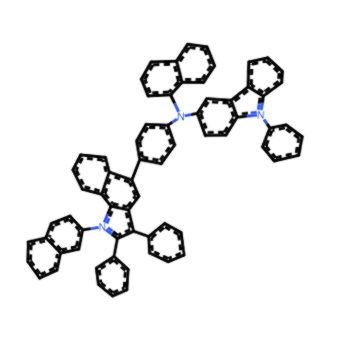 c1ccc(-c2c(-c3ccccc3)n(-c3ccc4ccccc4c3)c3c2cc(-c2ccc(N(c4ccc5c(c4)c4ccccc4n5-c4ccccc4)c4cccc5ccccc45)cc2)c2ccccc23)cc1